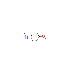 CCOC1CCC(NC)CC1